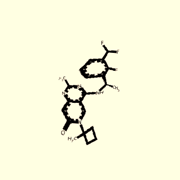 Cc1nc(N[C@H](C)c2cccc(C(F)F)c2F)c2cn(C3(C)CCC3)c(=O)cc2n1